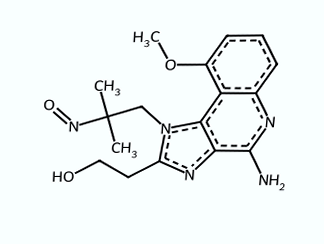 COc1cccc2nc(N)c3nc(CCO)n(CC(C)(C)N=O)c3c12